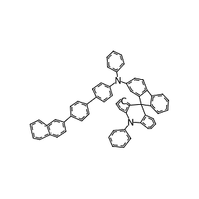 c1ccc(N(c2ccc(-c3ccc(-c4ccc5ccccc5c4)cc3)cc2)c2ccc3c(c2)C2(c4ccccc4-3)c3ccccc3N(c3ccccc3)c3ccccc32)cc1